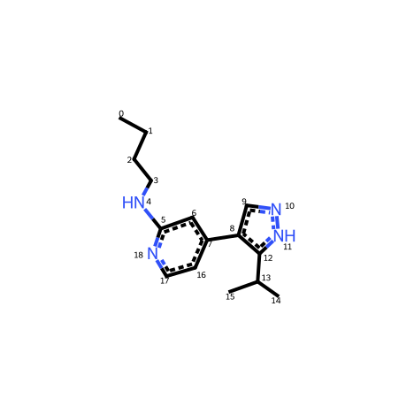 CCCCNc1cc(-c2cn[nH]c2C(C)C)ccn1